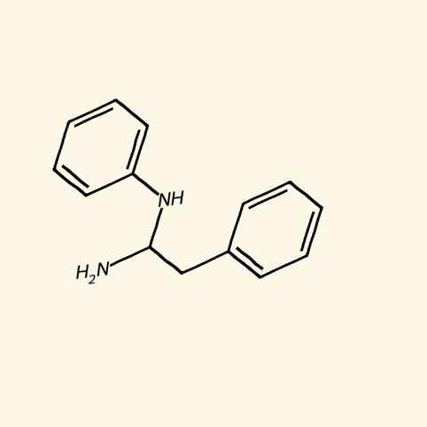 NC(Cc1ccccc1)Nc1ccccc1